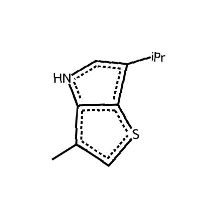 Cc1csc2c(C(C)C)c[nH]c12